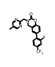 Cc1cnc(CN2Cc3cc(-c4ccc(C(F)(F)F)cc4F)ccc3OC2=O)nc1